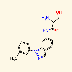 Cc1cccc(-n2ncc3ccc(NC(=O)C(N)CO)cc32)c1